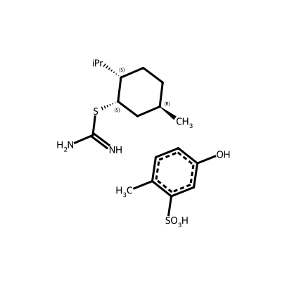 CC(C)[C@@H]1CC[C@@H](C)C[C@@H]1SC(=N)N.Cc1ccc(O)cc1S(=O)(=O)O